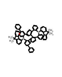 CC1(C)c2ccccc2-c2c(-n3c4ccccc4c4cccc5c6cc(-c7ccccc7)ccc6n(-c6cccc7c6-c6ccccc6C7(C)C)c6ccc(-c7ccccc7)cc6c6cccc(c7ccccc73)c6c45)cccc21